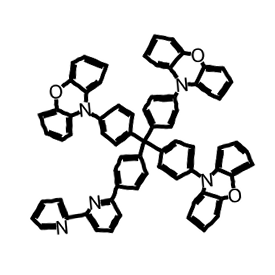 c1ccc(-c2cccc(-c3ccc(C(c4ccc(N5c6ccccc6Oc6ccccc65)cc4)(c4ccc(N5c6ccccc6Oc6ccccc65)cc4)c4ccc(N5c6ccccc6Oc6ccccc65)cc4)cc3)n2)nc1